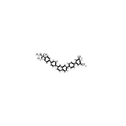 C[Si](C)(C)c1ccc(-c2ccc(-c3ccc4ccc(-c5ccc(-c6cc(C(F)(F)F)cc(C(F)(F)F)c6)cc5)cc4c3)cc2)cc1